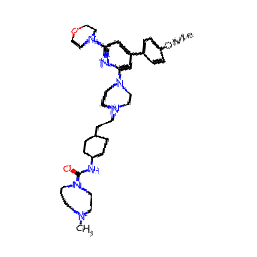 COc1ccc(-c2cc(N3CCOCC3)nc(N3CCN(CCC4CCC(NC(=O)N5CCN(C)CC5)CC4)CC3)c2)cc1